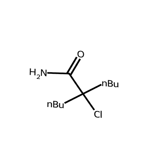 CCCCC(Cl)(CCCC)C(N)=O